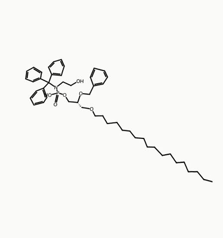 CCCCCCCCCCCCCCCCCCOC[C@H](COP(=O)(O)N(CCO)C(c1ccccc1)(c1ccccc1)c1ccccc1)OCc1ccccc1